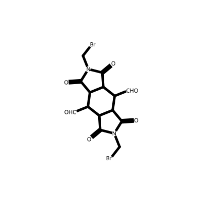 O=CC1C2C(=O)N(CBr)C(=O)C2C(C=O)C2C(=O)N(CBr)C(=O)C12